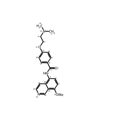 COc1ccc(NC(=O)c2ccc(OCCN(C)C)cc2)c2ccncc12